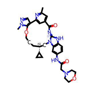 Cc1cc2cc(n1)-c1cnn(C)c1OCCC[C@@H](C1CC1)CN1/C(=N/C2=O)Nc2ccc(NC(=O)CN3CCOCC3)cc21